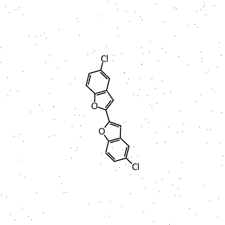 Clc1ccc2oc(-c3cc4cc(Cl)ccc4o3)cc2c1